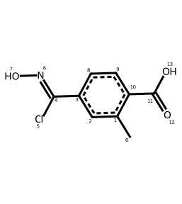 Cc1cc(C(Cl)=NO)ccc1C(=O)O